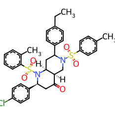 CCc1ccc(C2C[C@H]3[C@@H](CN2S(=O)(=O)c2ccc(C)cc2)C(=O)C[C@@H](c2ccc(Cl)cc2)N3S(=O)(=O)c2ccccc2C)cc1